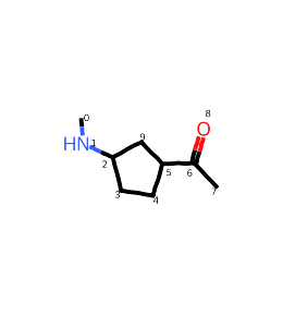 CNC1CCC(C(C)=O)C1